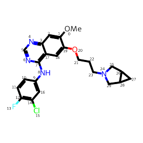 COc1cc2ncnc(Nc3ccc(F)c(Cl)c3)c2cc1OCCCN1CC2CC2C1